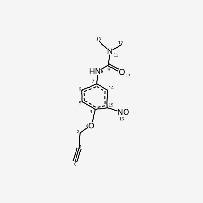 C#CCOc1ccc(NC(=O)N(C)C)cc1N=O